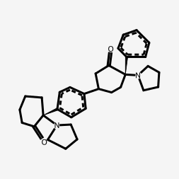 O=C1CCCC[C@]1(c1ccc(C2CC[C@@](c3ccccc3)(N3CCCC3)C(=O)C2)cc1)N1CCCC1